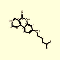 CC(C)CCCOc1ccc2c(c1)oc(=O)c1cnccc12